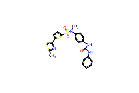 Cc1nc(-c2ccc(S(=O)(=O)N(C)c3ccc(NC(=O)Nc4ccccc4)cc3)s2)cs1